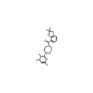 CC1=CC(C)N(C)C(N2CCN(C(=O)c3cccc4c3OC(C)(C)C4)CCO2)=N1